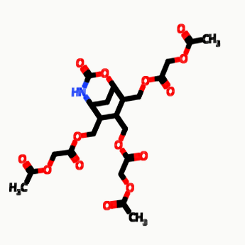 CC(=O)OCC(=O)OCC1C2CC(OC(=O)N2)C(COC(=O)COC(C)=O)C1COC(=O)COC(C)=O